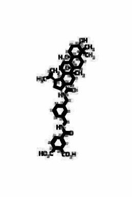 C=C(C)[C@@H]1CC[C@]2(C(=O)NCc3cccc(CNC(=O)c4ccc(C(=O)O)c(C(=O)O)c4)c3)CC[C@]3(C)C(CCC4[C@@]5(C)CC[C@H](O)C(C)(C)C5CC[C@]43C)C12